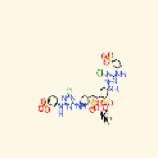 O=S(=O)([O-])c1cccc(Nc2nc(Cl)nc(Nc3ccc(C=Cc4ccc(Nc5nc(Cl)nc(Nc6cccc(S(=O)(=O)[O-])c6)n5)cc4S(=O)(=O)[O-])c(S(=O)(=O)[O-])c3)n2)c1.[K+].[K+].[K+].[K+]